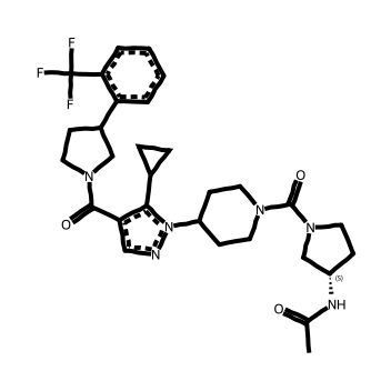 CC(=O)N[C@H]1CCN(C(=O)N2CCC(n3ncc(C(=O)N4CCC(c5ccccc5C(F)(F)F)C4)c3C3CC3)CC2)C1